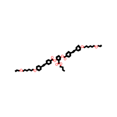 C=CCOCCCCCCOc1ccc(C#Cc2ccc(C(=O)Oc3ccc(OC(=O)c4ccc(C#Cc5ccc(OCCCCCCOCC=C)cc5)cc4)c(C(=O)OCCCC)c3)cc2)cc1